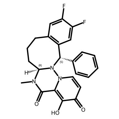 CN1C(=O)c2c(O)c(=O)ccn2N2[C@@H](c3ccccc3)c3cc(F)c(F)cc3CCC[C@H]12